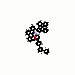 c1ccc(-c2cccc(-c3ccc(-c4ccc(N(c5ccc6c(c5)-c5ccccc5C6(c5ccccc5)c5ccccc5)c5c(-c6cccc7ccccc67)c6ccccc6c6ccccc56)cc4)cc3)c2)cc1